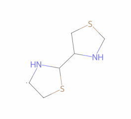 [CH]1CSC(C2CSCN2)N1